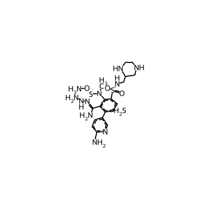 CN(SON)c1c(S(=O)(=O)NCC2CNCCN2)ccc(-c2ccc(N)nc2)c1/C(N)=N/NN.S